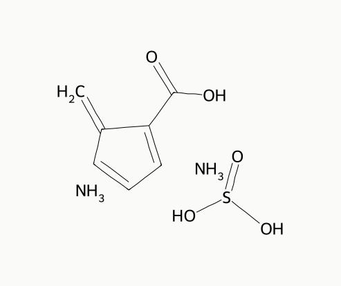 C=C1C=CC=C1C(=O)O.N.N.O=S(O)O